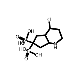 O=P(O)(O)C1(P(=O)(O)O)CC2NCCC(Cl)C2C1